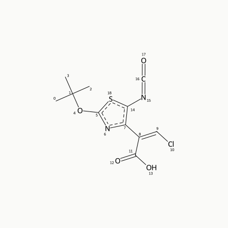 CC(C)(C)Oc1nc(C(=CCl)C(=O)O)c(N=C=O)s1